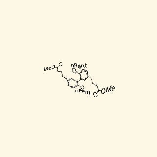 CCCCCOc1ccc(CCCC(=O)OC)cc1-c1cc(CCCC(=O)OC)ccc1OCCCCC